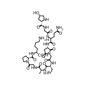 CC(C)C[C@H](NC(=O)CN1C(=O)C[C@H](NC(=O)C(CCC(N)=O)NC(=O)CNC(=O)[C@@H]2C[C@@H](O)CN2)C1=O)C(=O)N[C@@H](C)C(=O)NCC(=O)N1CCC[C@H]1C(=O)N[C@@H](CCCCN)C(=O)O